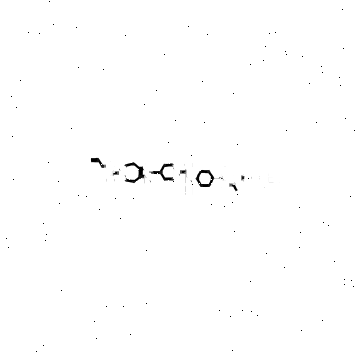 C=CCOC(=O)N1CCc2nc(C3CCN(C(=O)N[C@H]4CC[C@H](C(=O)OC(C)OC(=O)OCC)CC4)CC3)sc2CC1